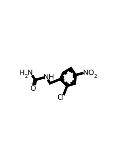 NC(=O)NCc1ccc([N+](=O)[O-])cc1Cl